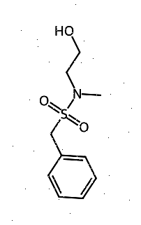 CN(CCO)S(=O)(=O)Cc1ccccc1